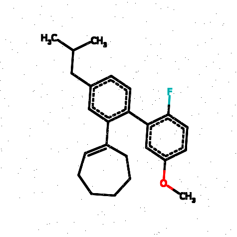 COc1ccc(F)c(-c2ccc(CC(C)C)cc2C2=CCCCCC2)c1